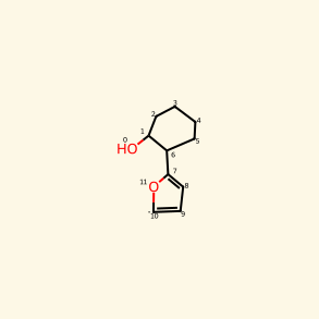 OC1CCCCC1c1cc[c]o1